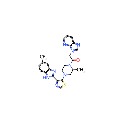 CC1CN(c2scnc2-c2nc3cc(C(F)(F)F)ccc3[nH]2)CCN1C(=O)Cn1cnc2cccnc21